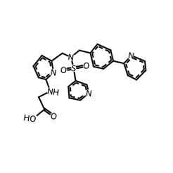 O=C(O)CNc1cccc(CN(Cc2ccc(-c3ccccn3)cc2)S(=O)(=O)c2cccnc2)n1